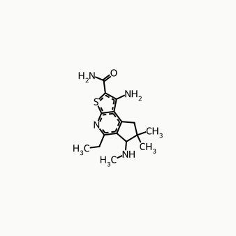 CCc1nc2sc(C(N)=O)c(N)c2c2c1C(NC)C(C)(C)C2